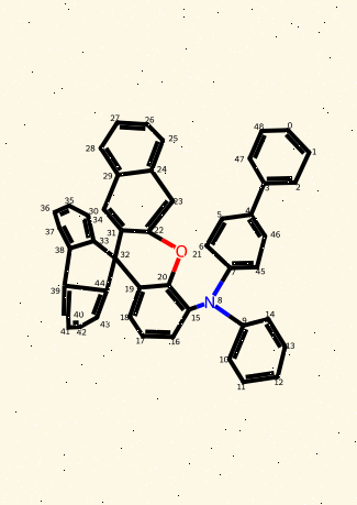 c1ccc(-c2ccc(N(c3ccccc3)c3cccc4c3Oc3cc5ccccc5cc3C43c4ccccc4-c4ccccc43)cc2)cc1